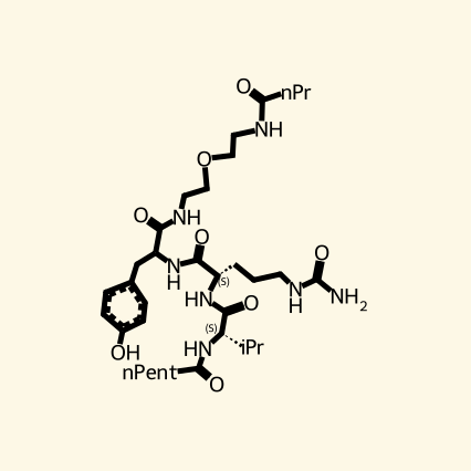 CCCCCC(=O)N[C@H](C(=O)N[C@@H](CCCNC(N)=O)C(=O)NC(Cc1ccc(O)cc1)C(=O)NCCOCCNC(=O)CCC)C(C)C